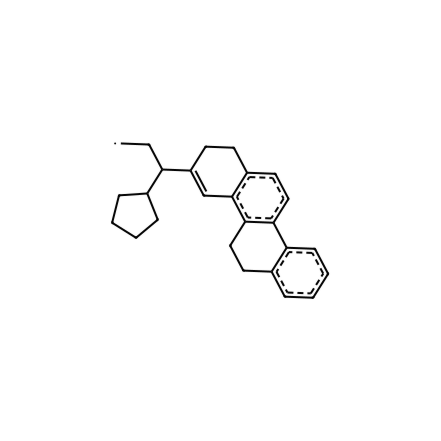 [CH2]CC(C1=Cc2c(ccc3c2CCc2ccccc2-3)CC1)C1CCCC1